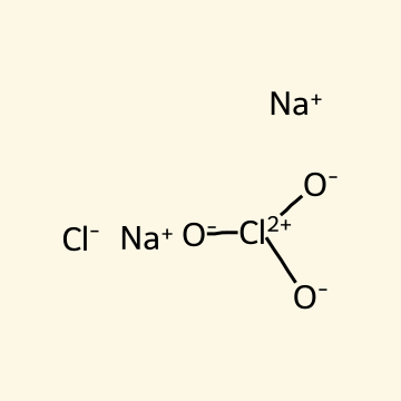 [Cl-].[Na+].[Na+].[O-][Cl+2]([O-])[O-]